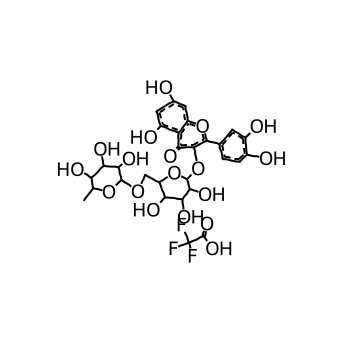 CC1OC(OCC2OC(Oc3c(-c4ccc(O)c(O)c4)oc4cc(O)cc(O)c4c3=O)C(O)C(O)C2O)C(O)C(O)C1O.O=C(O)C(F)(F)F